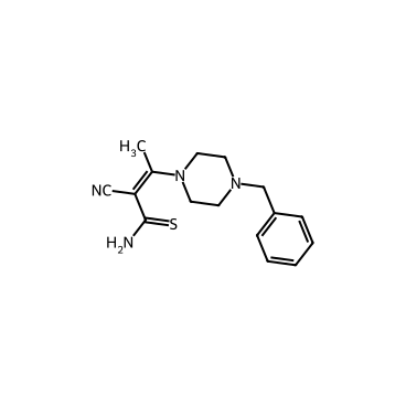 CC(=C(C#N)C(N)=S)N1CCN(Cc2ccccc2)CC1